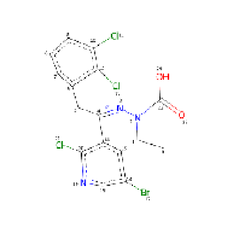 CCN(/N=C(/Cc1cccc(Cl)c1Cl)c1cc(Br)cnc1Cl)C(=O)O